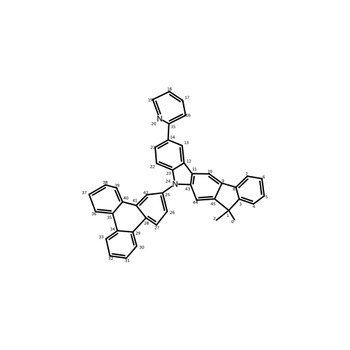 CC1(C)c2ccccc2-c2cc3c4cc(-c5ccccn5)ccc4n(-c4ccc5c6ccccc6c6ccccc6c5c4)c3cc21